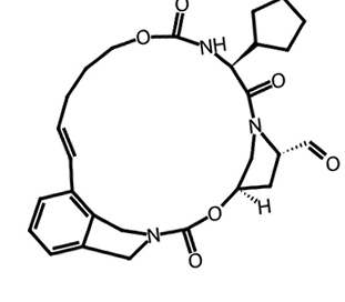 O=C[C@@H]1C[C@@H]2CN1C(=O)[C@H](C1CCCC1)NC(=O)OCCC/C=C/c1cccc3c1CN(C3)C(=O)O2